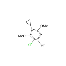 COc1cc(C(C)C)c(Cl)c(OC)c1C1CC1